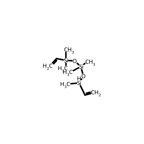 C=C[SiH](C)O[Si](C)(C)O[Si](C)(C)C=C